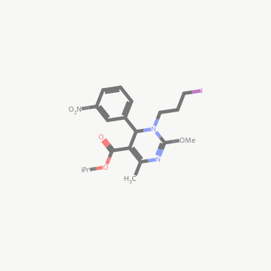 COC1=NC(C)=C(C(=O)OC(C)C)C(c2cccc([N+](=O)[O-])c2)N1CCCI